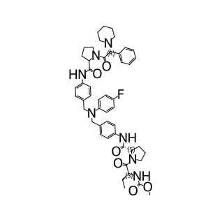 CC[C@H](NC(=O)OC)C(=O)N1CCC[C@H]1C(=O)Nc1ccc(CN(Cc2ccc(NC(=O)C3CCCN3C(=O)[C@@H](c3ccccc3)N3CCCCC3)cc2)c2ccc(F)cc2)cc1